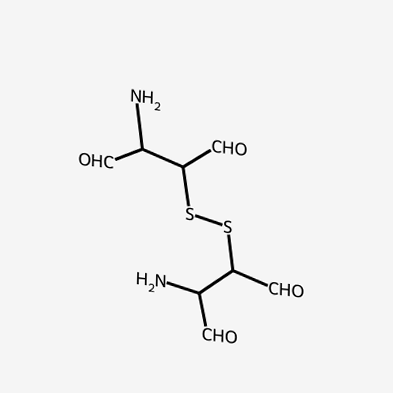 NC(C=O)C(C=O)SSC(C=O)C(N)C=O